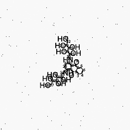 O=C1c2ccccc2C(=O)c2c(NCC(O)C(O)C(O)C(O)CO)ccc(NCC(O)C(O)C(O)C(O)CO)c21